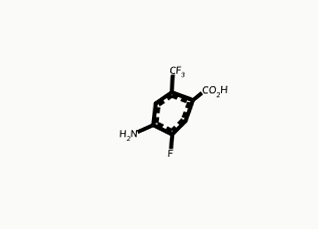 Nc1cc(C(F)(F)F)c(C(=O)O)cc1F